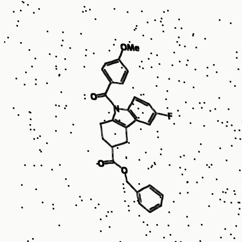 COc1ccc(C(=O)n2c3c(c4cc(F)ccc42)CC(C(=O)OCc2ccccc2)CC3)cc1